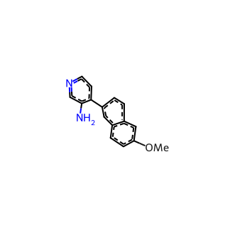 COc1ccc2cc(-c3ccncc3N)ccc2c1